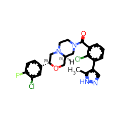 Cc1[nH]ncc1-c1cccc(C(=O)N2CCN3C[C@@H](c4ccc(F)c(Cl)c4)OC[C@@H]3C2)c1Cl